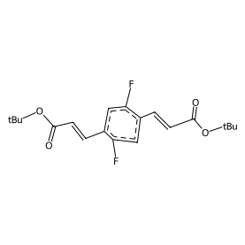 CC(C)(C)OC(=O)/C=C/c1cc(F)c(/C=C/C(=O)OC(C)(C)C)cc1F